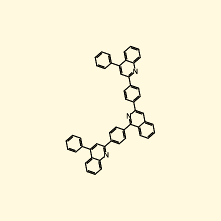 c1ccc(-c2cc(-c3ccc(-c4cc5ccccc5c(-c5ccc(-c6cc(-c7ccccc7)c7ccccc7n6)cc5)n4)cc3)nc3ccccc23)cc1